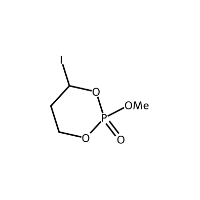 COP1(=O)OCCC(I)O1